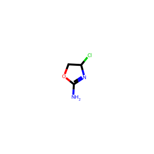 NC1=NC(Cl)CO1